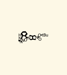 CC(C)(C)OC(=O)N1CC2CN(C(=O)c3ccccc3-c3nnc[nH]3)CC2C1